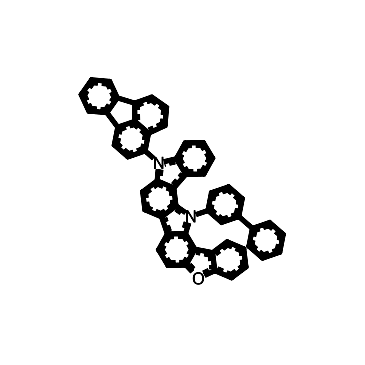 c1ccc(-c2cccc(-n3c4c(ccc5oc6ccccc6c54)c4ccc5c(c6ccccc6n5-c5ccc6c7c(cccc57)-c5ccccc5-6)c43)c2)cc1